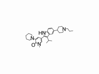 CCCN1CCC(c2ccc3[nH]c(-c4cc(N5CCCCC5)c(=O)n(C)c4)c(C(C)C)c3c2)CC1